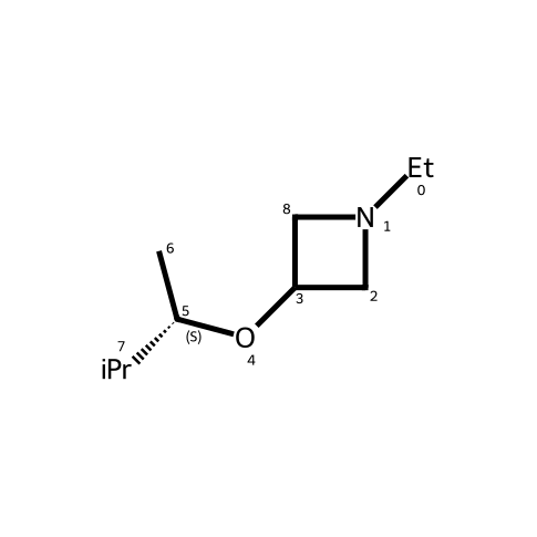 CCN1CC(O[C@@H](C)C(C)C)C1